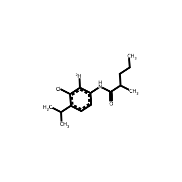 [2H]c1c(NC(=O)C(C)CCC)ccc(C(C)C)c1Cl